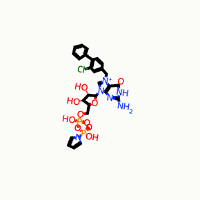 Nc1nc2c(c(=O)[nH]1)[n+](Cc1ccc(-c3ccccc3)c(Cl)c1)cn2C1OC(COP(=O)(O)OP(=O)(O)n2cccc2)[C@H](O)[C@@H]1O